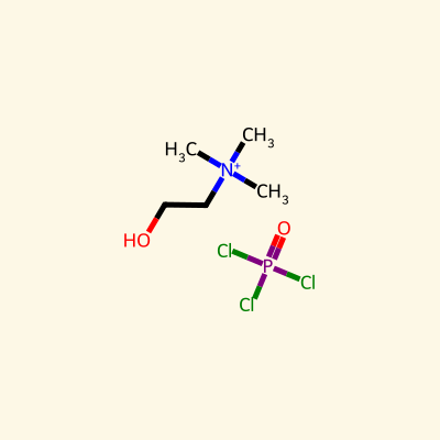 C[N+](C)(C)CCO.O=P(Cl)(Cl)Cl